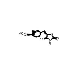 CCCCCCCCc1ccc(C=C2SC(=O)NC2=N)cc1